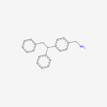 NCc1ccc(P(Cc2ccccc2)c2cc[c]cc2)cc1